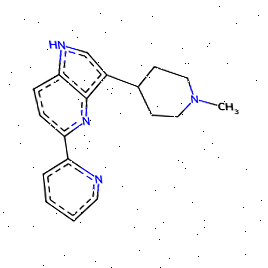 CN1CCC(c2c[nH]c3ccc(-c4ccccn4)nc23)CC1